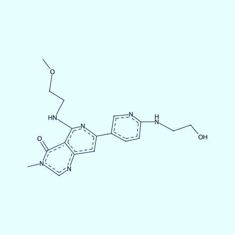 COCCNc1nc(-c2ccc(NCCO)nc2)cc2ncn(C)c(=O)c12